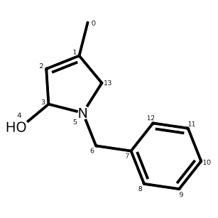 CC1=CC(O)N(Cc2ccccc2)C1